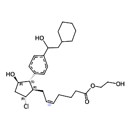 O=C(CCC/C=C\C[C@@H]1[C@@H](c2ccc(C(O)CC3CCCCC3)cc2)[C@H](O)C[C@H]1Cl)OCCO